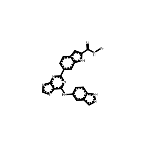 CC(C)NC(=O)c1cc2ccc(-c3nc(Nc4ccc5[nH]ncc5c4)c4scnc4n3)cc2[nH]1